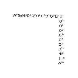 [Li+].[Li+].[Ni+2].[Ni+2].[O-2].[O-2].[O-2].[O-2].[O-2].[O-2].[O-2].[O-2].[O-2].[O-2].[O-2].[O-2].[O-2].[Sn+4].[Sn+4].[W+6].[W+6]